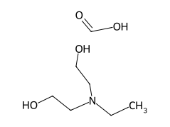 CCN(CCO)CCO.O=CO